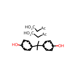 CC(=O)CC(=O)O.CC(=O)CC(=O)O.CC(C)(c1ccc(O)cc1)c1ccc(O)cc1